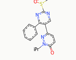 CC(C)n1nc(-c2cnc([S+](C)[O-])nc2-c2ccccc2)ccc1=O